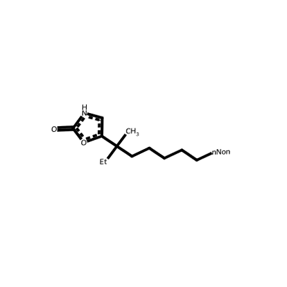 CCCCCCCCCCCCCCC(C)(CC)c1c[nH]c(=O)o1